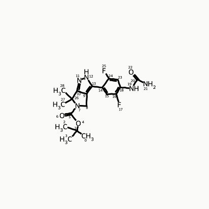 CC(C)(C)OC(=O)N1Cc2c(n[nH]c2-c2cc(F)c(NC(N)=O)cc2F)C1(C)C